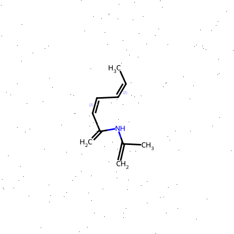 C=C(C)NC(=C)/C=C\C=C/C